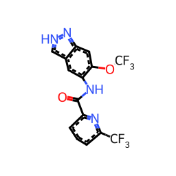 O=C(Nc1cc2c[nH]nc2cc1OC(F)(F)F)c1cccc(C(F)(F)F)n1